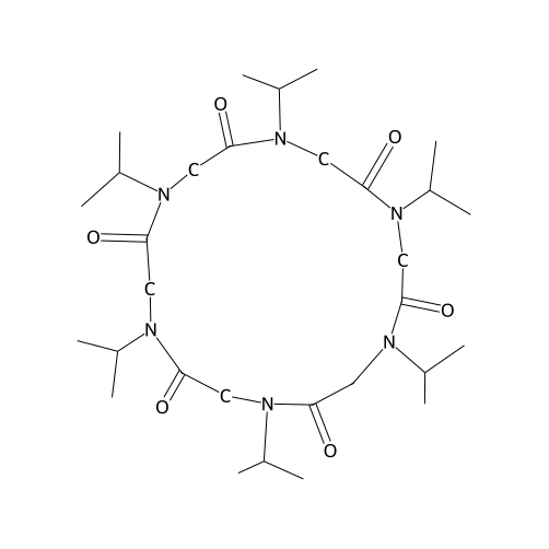 CC(C)N1CC(=O)N(C(C)C)CC(=O)N(C(C)C)CC(=O)N(C(C)C)CC(=O)N(C(C)C)CC(=O)N(C(C)C)CC1=O